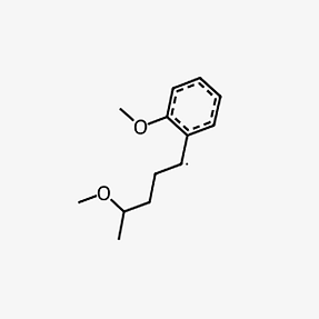 COc1ccccc1[CH]CCC(C)OC